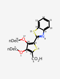 CCCCCCCCCCOc1c(C(=O)O)sc(-c2nc3ccccc3s2)c1OCCCCCCCCCC